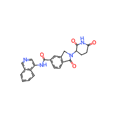 O=C1CCC(N2Cc3cc(C(=O)Nc4cncc5ccccc45)ccc3C2=O)C(=O)N1